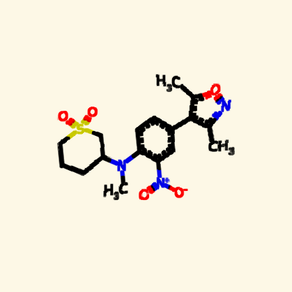 Cc1noc(C)c1-c1ccc(N(C)C2CCCS(=O)(=O)C2)c([N+](=O)[O-])c1